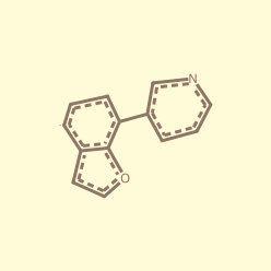 [c]1ccc(-c2cccnc2)c2occc12